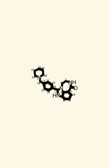 O=C1NCCN2c3c(cccc31)NC2c1ccc(CN2CC=CCC2)cc1